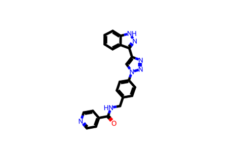 O=C(NCc1ccc(-n2cc(-c3n[nH]c4ccccc34)nn2)cc1)c1ccncc1